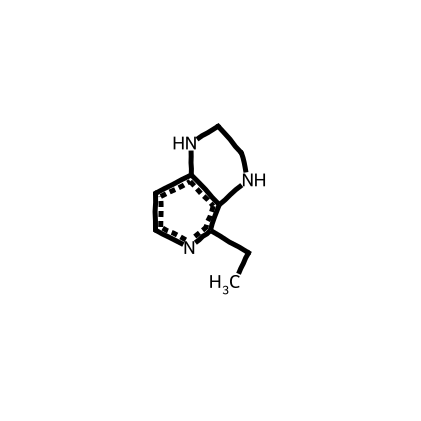 CCc1nccc2c1NCCN2